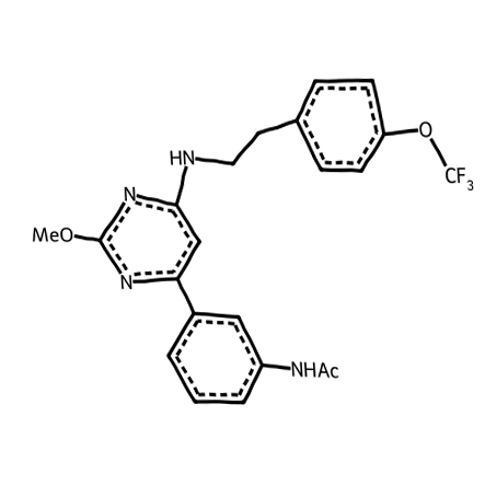 COc1nc(NCCc2ccc(OC(F)(F)F)cc2)cc(-c2cccc(NC(C)=O)c2)n1